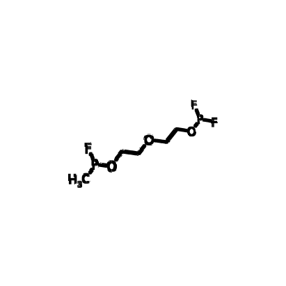 CP(F)OCCOCCOP(F)F